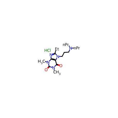 CCCN(CCC)CCCn1c(CC)nc2c1c(=O)n(C)c(=O)n2C.Cl